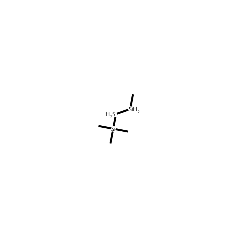 C[SiH2][SiH2][Si](C)(C)C